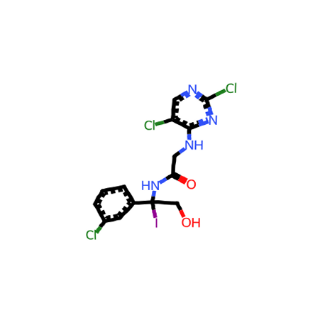 O=C(CNc1nc(Cl)ncc1Cl)NC(I)(CO)c1cccc(Cl)c1